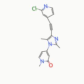 Cc1nc(C#Cc2ccnc(Cl)c2)c(C)n1-c1ccn(C)c(=O)c1